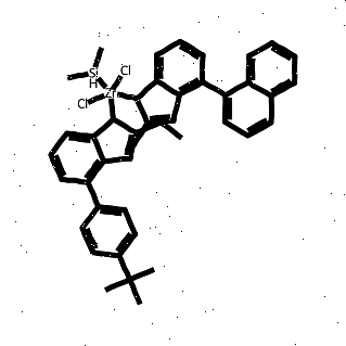 CCC1=Cc2c(-c3ccc(C(C)(C)C)cc3)cccc2[CH]1[Zr]([Cl])([Cl])([CH]1C(C)=Cc2c(-c3cccc4ccccc34)cccc21)[SiH](C)C